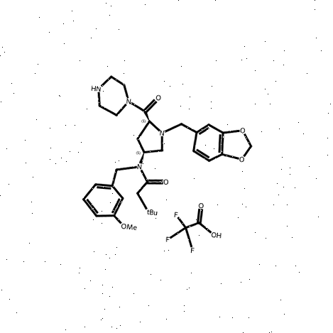 COc1cccc(CN(C(=O)CC(C)(C)C)[C@H]2C[C@@H](C(=O)N3CCNCC3)N(Cc3ccc4c(c3)OCO4)C2)c1.O=C(O)C(F)(F)F